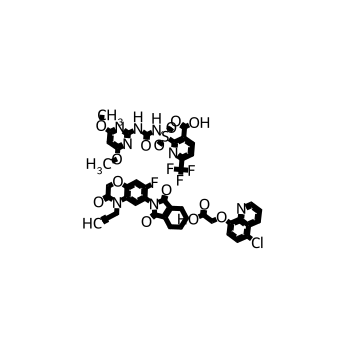 C#CCN1C(=O)COc2cc(F)c(N3C(=O)C4=C(CCCC4)C3=O)cc21.COc1cc(OC)nc(NC(=O)NS(=O)(=O)c2nc(C(F)(F)F)ccc2C(=O)O)n1.O=C(O)COc1ccc(Cl)c2cccnc12